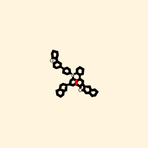 c1cc(-c2ccc3ccccc3c2)cc(N(c2ccc(-c3ccc4oc5ccccc5c4c3)cc2)c2ccccc2-c2ccc3oc4cc5ccccc5cc4c3c2)c1